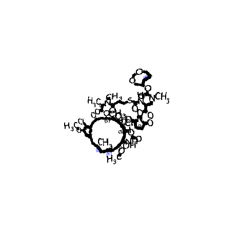 COc1cc2cc(c1Cl)CC(=O)C[C@H](OC(=O)[C@H](C)N(C)C(=O)CCSC(=O)NC(CN(C)C(=O)OC1/C=C/COCOC1)C(=O)ON1C(=O)CCC1=O)[C@]1(C)O[C@H]1[C@H](C)[C@@H]1C[C@@](O)(NC(=O)O1)[C@H](OC)/C=C/C=C(\C)C2